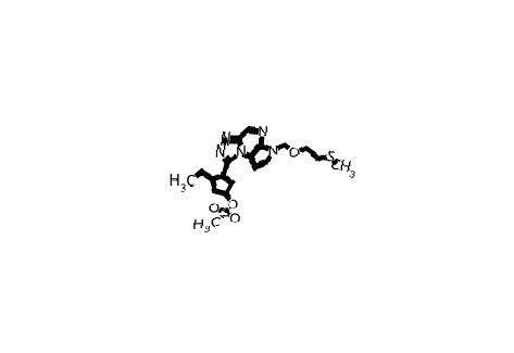 CCC1CC(OS(C)(=O)=O)CC1c1nnc2cnc3c(ccn3COCCSC)n12